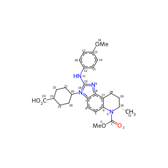 COC(=O)N1c2ccc3c(nc(Nc4ccc(OC)cc4)n3C3CCC(C(=O)O)CC3)c2CC[C@@H]1C